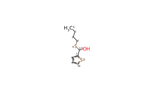 CCCCSC(O)c1cccs1